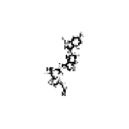 C[C@@H](NC(=O)Oc1c[nH]c2ncc(-c3nn(C)c4cc(F)ccc34)nc12)c1nc(CC#N)co1